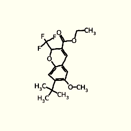 CCOC(=O)C1=Cc2cc(OC)c(C(C)(C)C)cc2OC1C(F)(F)F